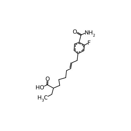 CCC(CCCCC=CCc1ccc(C(N)=O)c(F)c1)C(=O)O